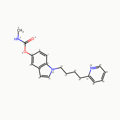 CNC(=O)Oc1ccc2c(ccn2CCCCc2ccccn2)c1